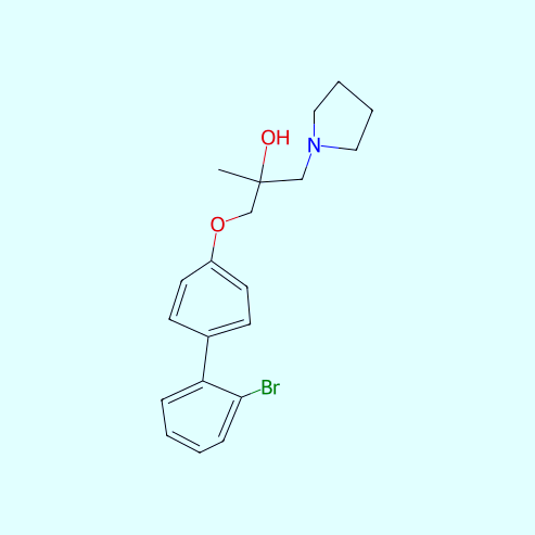 CC(O)(COc1ccc(-c2ccccc2Br)cc1)CN1CCCC1